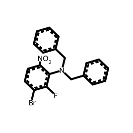 O=[N+]([O-])c1ccc(Br)c(F)c1N(Cc1ccccc1)Cc1ccccc1